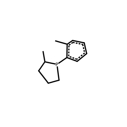 Cc1ccccc1P1CCCC1C